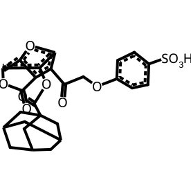 O=C(COc1ccc(S(=O)(=O)O)cc1)c1c2c3oc1c(OC(=O)C14CC5CC(CC(C5)C1)C4)c3OC2=O